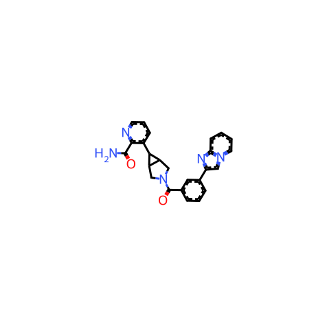 NC(=O)c1ncccc1C1C2CN(C(=O)c3cccc(-c4cn5ccccc5n4)c3)CC21